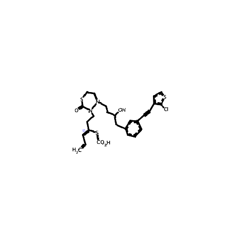 C=C/C=C(/CCN1C(=O)SCCN1CCC(O)Cc1cccc(C#Cc2ccsc2Cl)c1)SC(=O)O